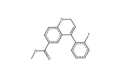 COC(=O)c1ccc2c(c1)C(c1ccccc1F)=CCO2